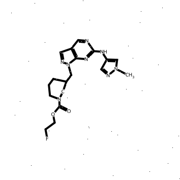 Cn1cc(Nc2ncc3cnn(CC4CCCN(C(=O)OCCF)C4)c3n2)cn1